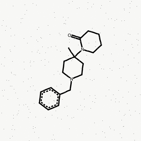 CC1(N2CCCCC2=O)CCN(Cc2ccccc2)CC1